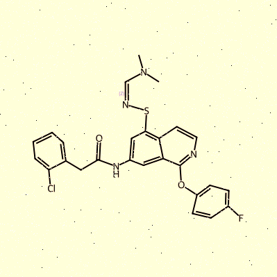 CN(C)/C=N\Sc1cc(NC(=O)Cc2ccccc2Cl)cc2c(Oc3ccc(F)cc3)nccc12